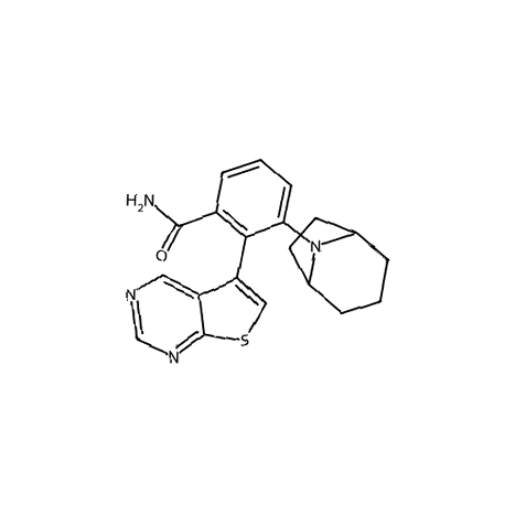 NC(=O)c1cccc(N2C3CCCC2CC3)c1-c1csc2ncncc12